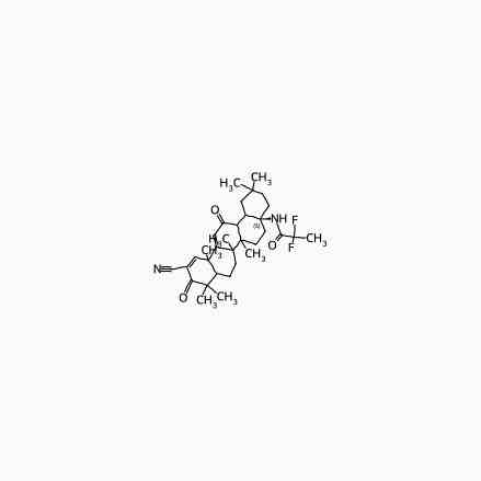 CC1(C)CC[C@]2(NC(=O)C(C)(F)F)CCC3(C)C(C(=O)C=C4C5(C)C=C(C#N)C(=O)C(C)(C)C5CCC43C)C2C1